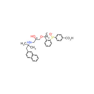 CC(OC[C@H](O)CNC(C)(C)Cc1ccc2ccccc2c1)c1ccccc1[S+]([O-])c1ccc(C(=O)O)cc1